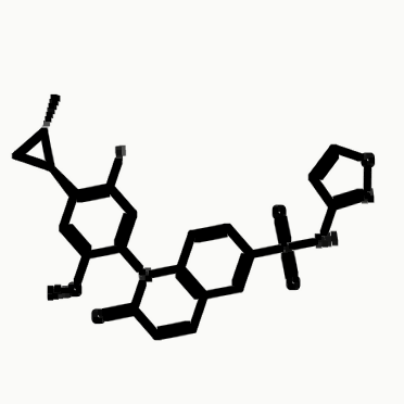 COc1cc([C@H]2C[C@@H]2C)c(F)cc1-n1c(=O)ccc2cc(S(=O)(=O)Nc3ccon3)ccc21